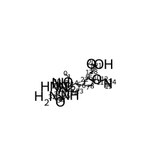 CCOc1cc(-c2ccc(OCCN(C)C)c(/C=C/C(=O)O)c2)ccc1-c1nc(NN)c(N)c(=O)[nH]1